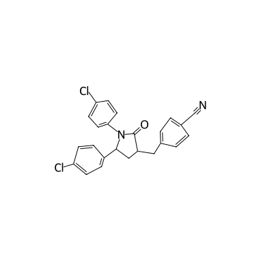 N#Cc1ccc(CC2CC(c3ccc(Cl)cc3)N(c3ccc(Cl)cc3)C2=O)cc1